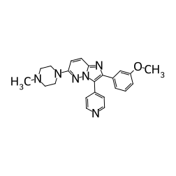 COc1cccc(-c2nc3ccc(N4CCN(C)CC4)nn3c2-c2ccncc2)c1